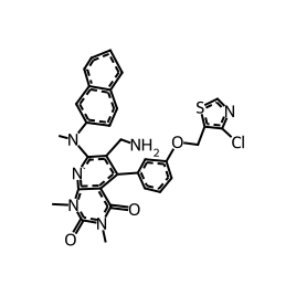 CN(c1ccc2ccccc2c1)c1nc2c(c(-c3cccc(OCc4scnc4Cl)c3)c1CN)c(=O)n(C)c(=O)n2C